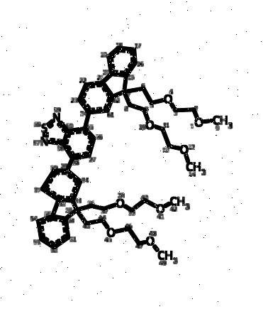 COCCOCCC1(CCOCCOC)c2ccccc2-c2ccc(-c3ccc(-c4ccc5c(c4)C(CCOCCOC)(CCOCCOC)c4ccccc4-5)c4nsnc34)cc21